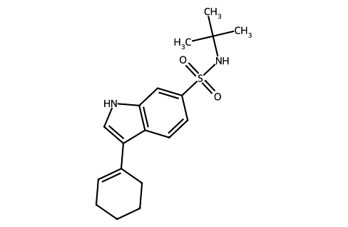 CC(C)(C)NS(=O)(=O)c1ccc2c(C3=CCCCC3)c[nH]c2c1